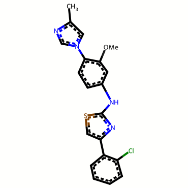 COc1cc(Nc2nc(-c3ccccc3Cl)cs2)ccc1-n1cnc(C)c1